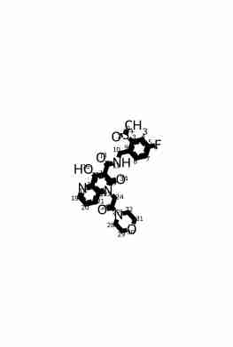 C[S+]([O-])c1cc(F)ccc1CNC(=O)c1c(O)c2ncccc2n(CC(=O)N2CCOCC2)c1=O